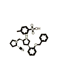 Cc1ccc(S(=O)(=O)O)cc1.N#C[C@@H]1CCCN1C[C@@H]1C[C@H](c2ccccc2OCc2ccccc2)CN1